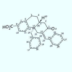 O=C1C[C@H]2CCc3cc(C(=O)O)ccc3[C@]2(Cc2ccccc2)CC1=Cc1ccccc1